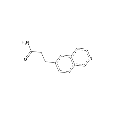 NC(=O)CCc1ccc2cnccc2c1